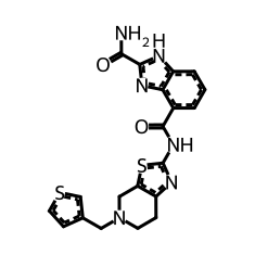 NC(=O)c1nc2c(C(=O)Nc3nc4c(s3)CN(Cc3ccsc3)CC4)cccc2[nH]1